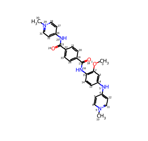 COc1cc(Nc2cc[n+](C)cc2)ccc1NC(=O)c1ccc(C(=O)Nc2cc[n+](C)cc2)cc1